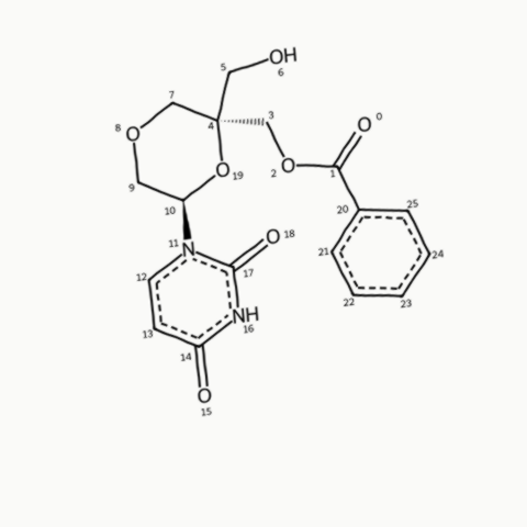 O=C(OC[C@@]1(CO)COC[C@H](n2ccc(=O)[nH]c2=O)O1)c1ccccc1